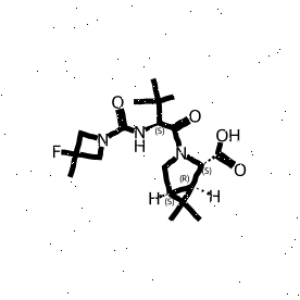 CC1(F)CN(C(=O)N[C@H](C(=O)N2C[C@H]3[C@@H]([C@H]2C(=O)O)C3(C)C)C(C)(C)C)C1